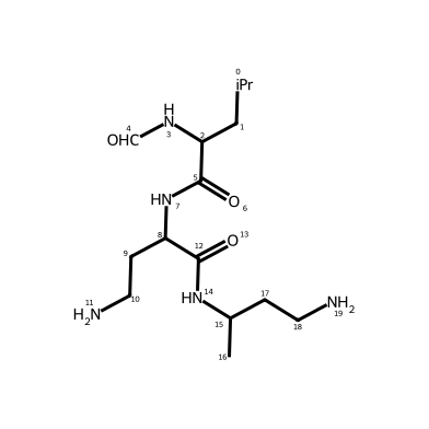 CC(C)CC(NC=O)C(=O)NC(CCN)C(=O)NC(C)CCN